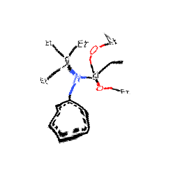 CCO[Si](C)(OCC)N(c1ccccc1)[Si](CC)(CC)CC